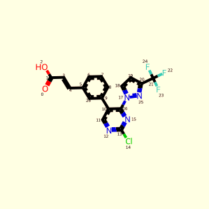 O=C(O)/C=C/c1cccc(-c2cnc(Cl)nc2-n2ccc(C(F)(F)F)n2)c1